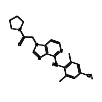 Cc1cc(C(F)(F)F)cc(C)c1Nc1nccc2c1ncn2CC(=O)N1CCCC1